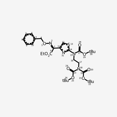 CCOC(=O)/C(=N\OCc1ccccc1)c1csc(N(CCN(C(=O)OC(C)(C)C)C(=O)OC(C)(C)C)C(=O)OC(C)(C)C)n1